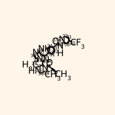 CC#CC(=O)N1C(c2nc(-c3ccc(C(=O)Nc4cc(C(F)(F)F)ccn4)cc3)c3c(N)nccn23)[C@H](C)NC[C@@H]1C